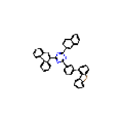 c1cc(-c2nc(-c3ccc4ccccc4c3)nc(-c3cc4ccccc4c4ccccc34)n2)cc(-c2cccc3sc4ccccc4c23)c1